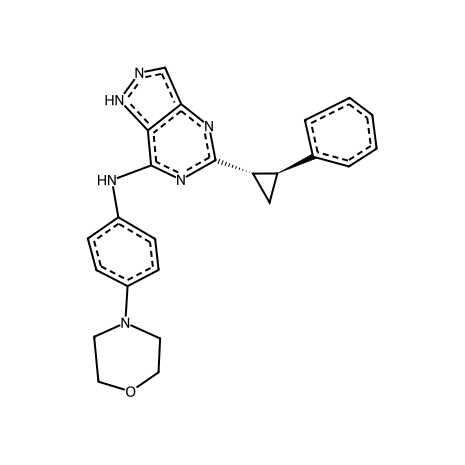 c1ccc([C@H]2C[C@@H]2c2nc(Nc3ccc(N4CCOCC4)cc3)c3[nH]ncc3n2)cc1